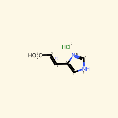 Cl.O=C(O)/C=C/c1c[nH]cn1